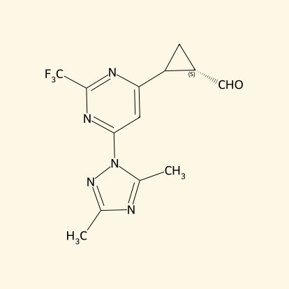 Cc1nc(C)n(-c2cc(C3C[C@@H]3C=O)nc(C(F)(F)F)n2)n1